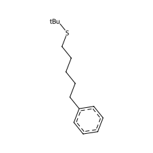 CC(C)(C)SCCCCCc1ccccc1